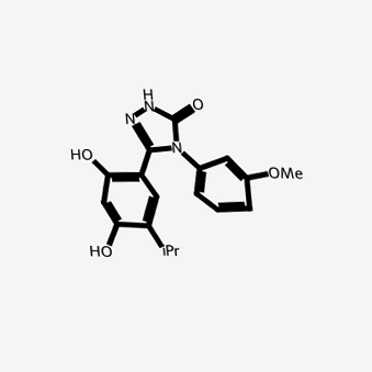 COc1cccc(-n2c(-c3cc(C(C)C)c(O)cc3O)n[nH]c2=O)c1